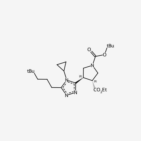 CCOC(=O)[C@H]1CN(C(=O)OC(C)(C)C)C[C@@H]1c1nnc(CCCC(C)(C)C)n1C1CC1